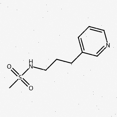 CS(=O)(=O)NCC[CH]c1cccnc1